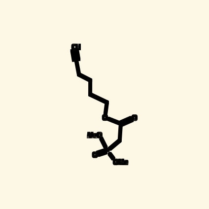 C#CCCCCOC(=O)CP(=O)(OC)OC